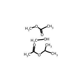 CC(=O)OC(C)C.CO.COC(C)=O